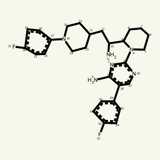 Nc1nc(N2CCCCC2C(N)CC2CCN(c3ccc(F)cc3)CC2)ncc1-c1ccc(F)cc1